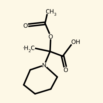 [CH2]C(OC(C)=O)(C(=O)O)N1CCCCC1